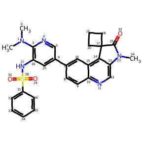 CN(C)c1ncc(-c2ccc3ncc4c(c3c2)C2(CCC2)C(=O)N4C)cc1NS(=O)(=O)c1ccccc1